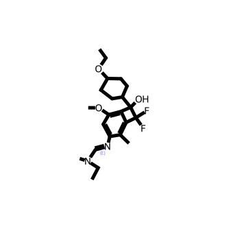 CCOC1CCC(C2(O)c3c(OC)cc(/N=C/N(C)CC)c(C)c3C2(F)F)CC1